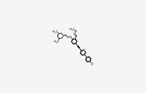 CO/N=C/c1cc(C#Cc2ccc(-c3ccc(Cl)cc3)cn2)ccc1OCCN1CC(C)CC(C)C1